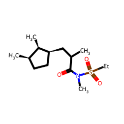 CCS(=O)(=O)N(C)C(=O)C(C)C[C@H]1CC[C@@H](C)[C@H]1C